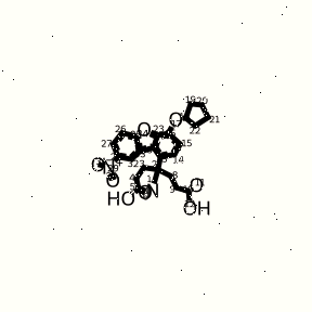 N#CC(CCC(=O)O)(CCC(=O)O)c1ccc(OC2CCCC2)c2oc3ccc([N+](=O)[O-])cc3c12